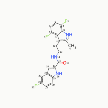 Cc1[nH]c2c(F)ccc(F)c2c1CCNC(=O)c1cc2cc(F)ccc2[nH]1